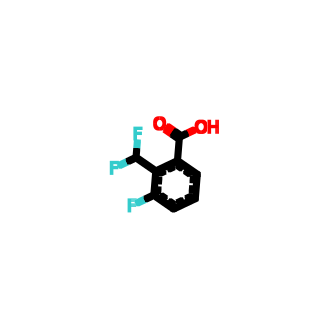 O=C(O)c1cccc(F)c1C(F)F